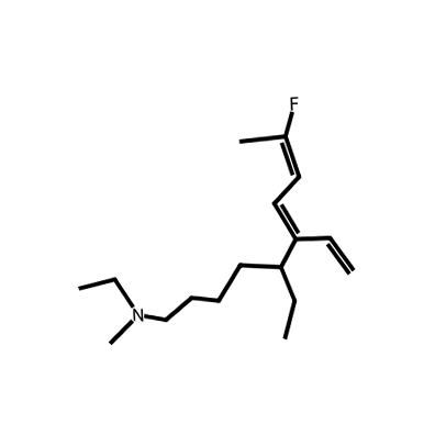 C=C/C(=C\C=C(/C)F)C(CC)CCCCN(C)CC